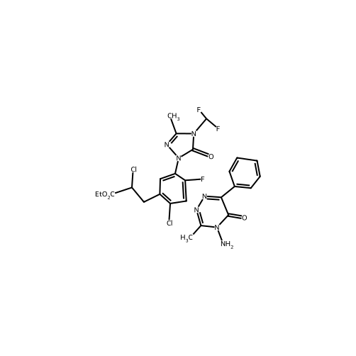 CCOC(=O)C(Cl)Cc1cc(-n2nc(C)n(C(F)F)c2=O)c(F)cc1Cl.Cc1nnc(-c2ccccc2)c(=O)n1N